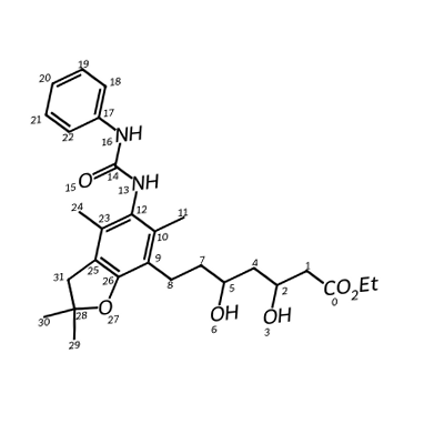 CCOC(=O)CC(O)CC(O)CCc1c(C)c(NC(=O)Nc2ccccc2)c(C)c2c1OC(C)(C)C2